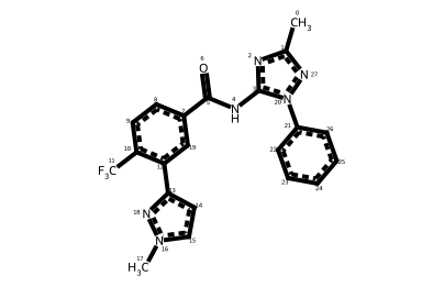 Cc1nc(NC(=O)c2ccc(C(F)(F)F)c(-c3ccn(C)n3)c2)n(-c2ccccc2)n1